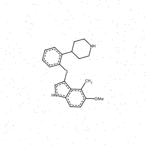 COc1ccc2[nH]cc(Sc3ccccc3C3CCNCC3)c2c1C